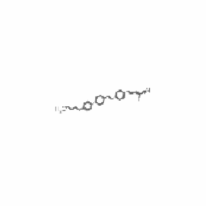 CCCCCc1ccc([C@H]2CC[C@H](CC[C@H]3CC[C@H](C=CC=C(F)C#N)CC3)CC2)cc1